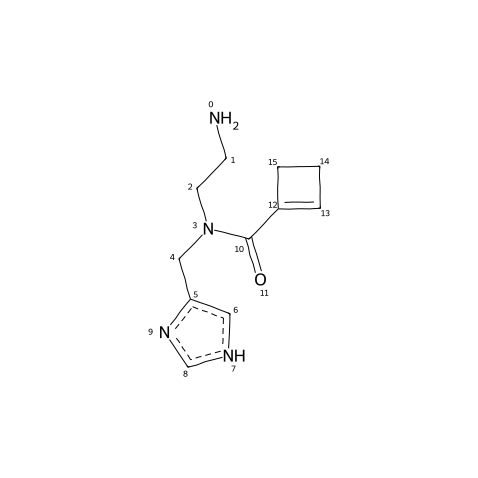 NCCN(Cc1c[nH]cn1)C(=O)C1=CCC1